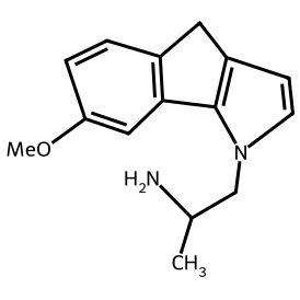 COc1ccc2c(c1)-c1c(ccn1CC(C)N)C2